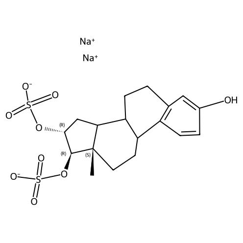 C[C@]12CCC3c4ccc(O)cc4CCC3C1C[C@@H](OS(=O)(=O)[O-])[C@@H]2OS(=O)(=O)[O-].[Na+].[Na+]